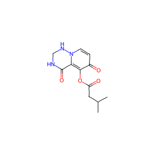 CC(C)CC(=O)Oc1c2n(ccc1=O)NCNC2=O